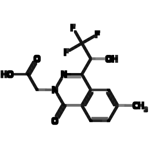 Cc1ccc2c(=O)n(CC(=O)O)nc(C(O)C(F)(F)F)c2c1